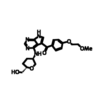 COCCOc1ccc(C(=O)c2c[nH]c3ncnc(N[C@@H]4CC[C@@H](CO)OC4)c23)cc1